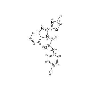 Cc1csc(-c2nc3ccccc3n2C(C)C(=O)Nc2ccc(Cl)cc2)n1